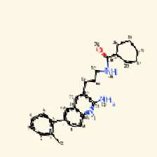 Cc1ccccc1-c1ccc2nc(N)c(CCCNC(=O)C3CCCCC3)cc2c1